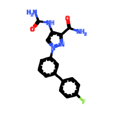 NC(=O)Nc1cn(-c2cccc(-c3ccc(F)cc3)c2)nc1C(N)=O